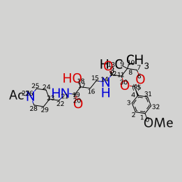 COc1ccc([C@@H]2OCC(C)(C)C(C(=O)NCCC(O)C(=O)NCC3CCN(C(C)=O)CC3)O2)cc1